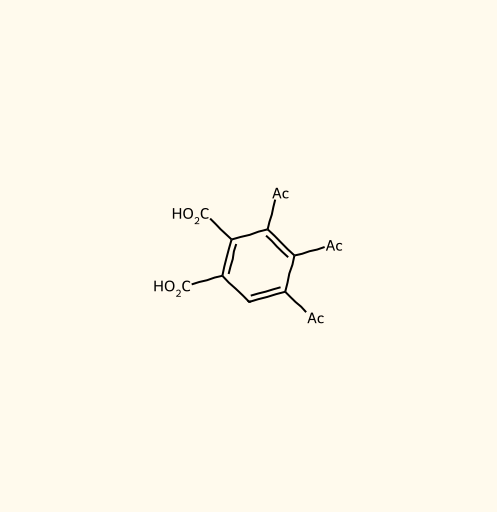 CC(=O)c1cc(C(=O)O)c(C(=O)O)c(C(C)=O)c1C(C)=O